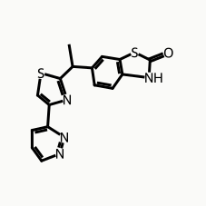 CC(c1ccc2[nH]c(=O)sc2c1)c1nc(-c2cccnn2)cs1